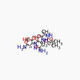 CC(NC(=O)OC(C)(C)C)C(=O)NC(CC(N)=O)C(=O)NC(CC(N)=O)C(=O)O